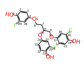 Oc1ccc(OCCC(COc2ccc(O)c(F)c2)Oc2ccc(O)c(F)c2)cc1F